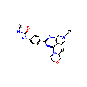 CCNC(=O)Nc1ccc(-c2nc3c(c(N4CCOCC4CC)n2)CCN(C(C)C)C3)cc1